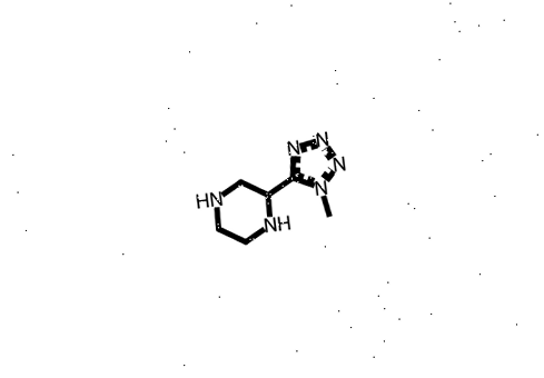 Cn1nnnc1C1CNCCN1